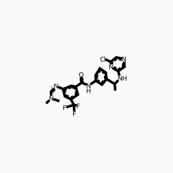 CC(Nc1cncc(Cl)n1)c1cccc(NC(=O)c2cc(/N=C\N(C)C)cc(C(F)(F)F)c2)c1